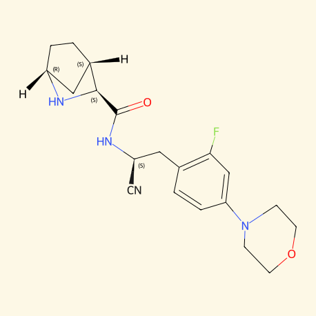 N#C[C@H](Cc1ccc(N2CCOCC2)cc1F)NC(=O)[C@H]1N[C@@H]2CC[C@H]1C2